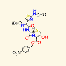 CC(C)CON=C(C(=O)NC1C(=O)N2C(C(=O)OCc3ccc([N+](=O)[O-])cc3)=C(O)CS[C@@H]12)c1csc(NC=O)n1